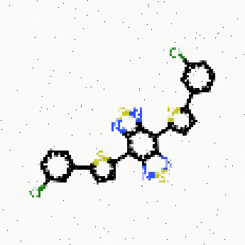 Clc1cccc(-c2ccc(-c3c4c(c(-c5ccc(-c6cccc(Cl)c6)s5)c5nsnc35)N=S=N4)s2)c1